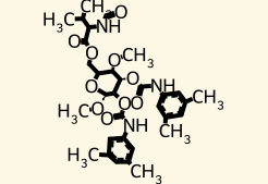 CO[C@@H]1OC(COC(=O)C(NC=O)C(C)C)[C@@H](OC)[C@H](OC(=O)Nc2cc(C)cc(C)c2)C1OC(=O)Nc1cc(C)cc(C)c1